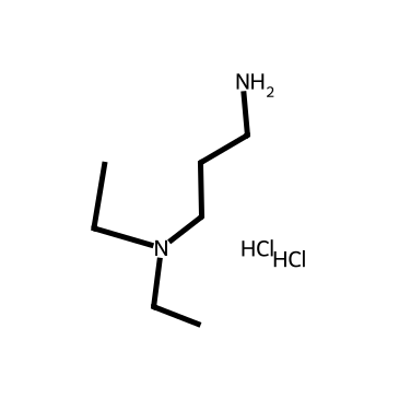 CCN(CC)CCCN.Cl.Cl